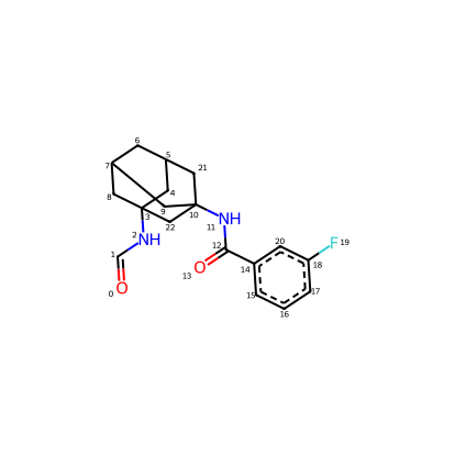 O=CNC12CC3CC(C1)CC(NC(=O)c1cccc(F)c1)(C3)C2